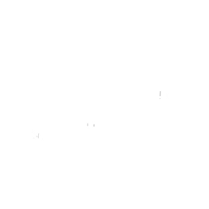 CCCCO[CH2][Sn]